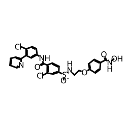 O=C(NO)c1ccc(OCCN[S+]([O-])c2ccc(C(=O)Nc3ccc(Cl)c(-c4ccccn4)c3)c(Cl)c2)cc1